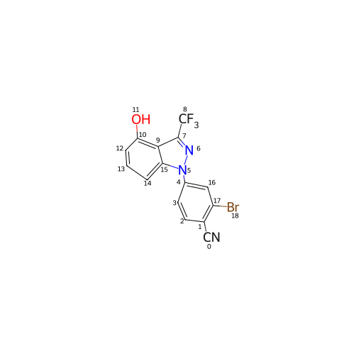 N#Cc1ccc(-n2nc(C(F)(F)F)c3c(O)cccc32)cc1Br